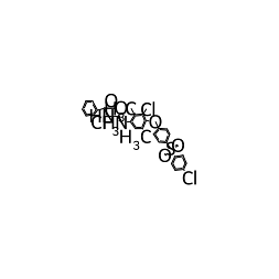 Cc1cc(NC(=O)NC(=O)c2ccccc2C(F)(F)F)c(C)c(Cl)c1Oc1ccc(S(=O)(=O)c2ccc(Cl)cc2)cc1